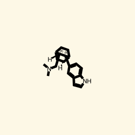 CN(C)C[C@@H]1C2CCC(CC2)[C@H]1c1ccc2[nH]ccc2c1